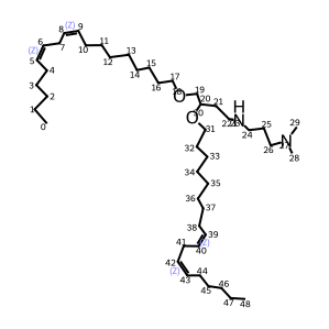 CCCCC/C=C\C/C=C\CCCCCCCCOCC(CCNCCCN(C)C)OCCCCCCCC/C=C\C/C=C\CCCCC